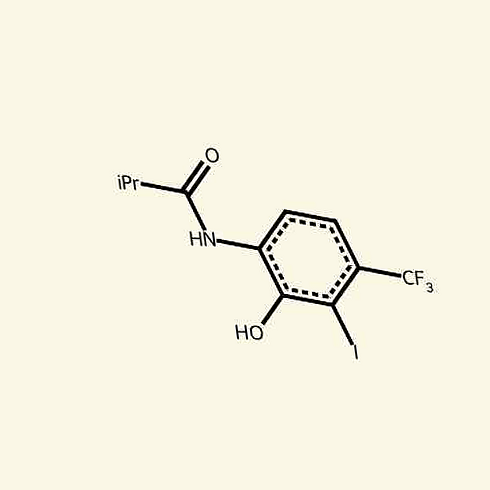 CC(C)C(=O)Nc1ccc(C(F)(F)F)c(I)c1O